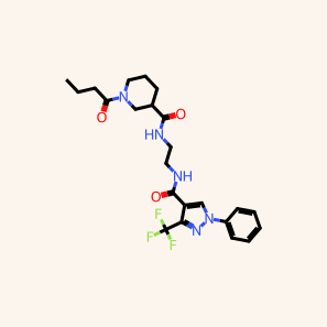 CCCC(=O)N1CCCC(C(=O)NCCNC(=O)c2cn(-c3ccccc3)nc2C(F)(F)F)C1